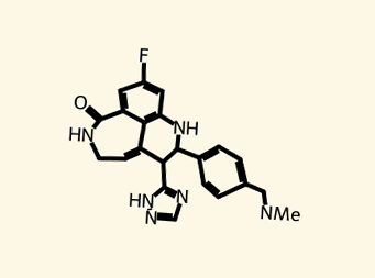 CNCc1ccc(C2Nc3cc(F)cc4c3C(=CCNC4=O)C2c2ncn[nH]2)cc1